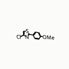 COc1ccc(-c2nc(Cl)cs2)cc1